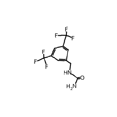 NC(=O)NCc1cc(C(F)(F)F)cc(C(F)(F)F)c1